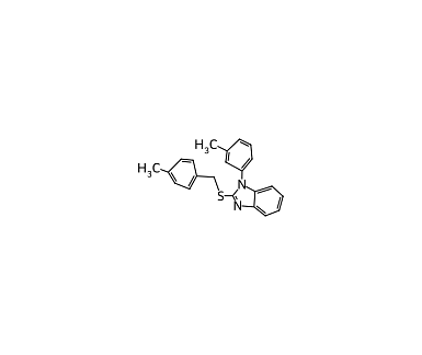 Cc1ccc(CSc2nc3ccccc3n2-c2cccc(C)c2)cc1